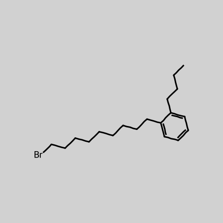 CCCCc1ccccc1CCCCCCCCCBr